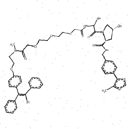 CC/C(=C(\c1ccccc1)c1ccc(OCCN(C)C(=O)COCCOCCOCC(=O)NC(C(=O)N2C[C@H](O)C[C@H]2C(=O)NCc2ccc(-c3scnc3C)cc2)C(C)(C)C)cc1)c1ccccc1